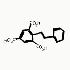 O=C(O)c1cc(C(=O)O)c(CCc2ccccc2)c(C(=O)O)c1